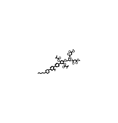 C=C(C)C(=O)Oc1cc(-c2ccc(-c3ccc(C4CCC(CCCCC)CC4)cc3F)cc2)c(OC(=O)C(=C)C)cc1OCC(COC(=O)CC(=O)OC)COC(=O)CC(=O)OC